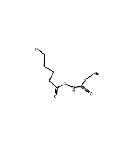 CC(C)CCCCC(=O)ONC(=O)OC(C)(C)C